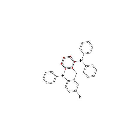 Fc1ccc(P(c2ccccc2)c2ccccc2)c(Cc2ccccc2P(c2ccccc2)c2ccccc2)c1